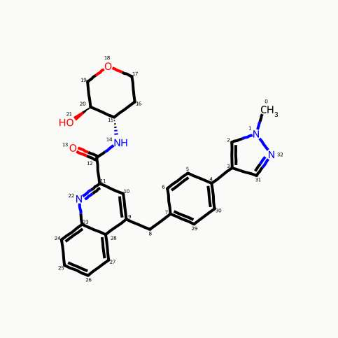 Cn1cc(-c2ccc(Cc3cc(C(=O)N[C@H]4CCOC[C@@H]4O)nc4ccccc34)cc2)cn1